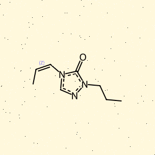 C/C=C\n1cnn(CCC)c1=O